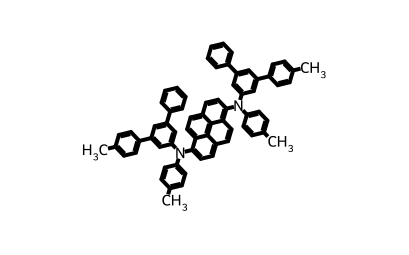 Cc1ccc(-c2cc(-c3ccccc3)cc(N(c3ccc(C)cc3)c3ccc4ccc5c(N(c6ccc(C)cc6)c6cc(-c7ccccc7)cc(-c7ccc(C)cc7)c6)ccc6ccc3c4c65)c2)cc1